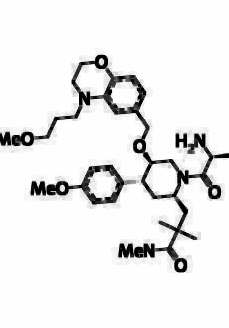 CNC(=O)C(C)(C)C[C@H]1C[C@H](c2ccc(OC)cc2)[C@@H](OCc2ccc3c(c2)N(CCCOC)CCO3)CN1C(=O)[C@H](C)N